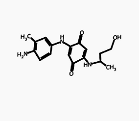 Cc1cc(NC2=CC(=O)C(NC(C)CCO)=CC2=O)ccc1N